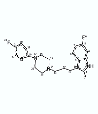 Cc1[nH]c2cc(F)ccc2c1CCCN1CCN(c2ccc(F)cc2)CC1